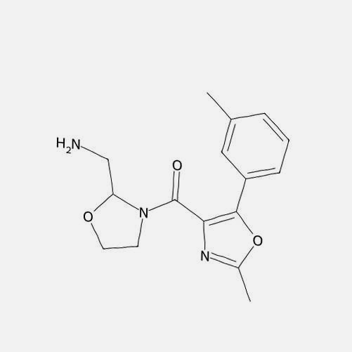 Cc1cccc(-c2oc(C)nc2C(=O)N2CCOC2CN)c1